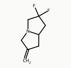 C=C1CC2CC(F)(F)CN2C1